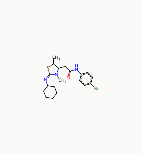 CC1SC(=NC2CCCCC2)N(C)C1CC(=O)Nc1ccc(Br)cc1